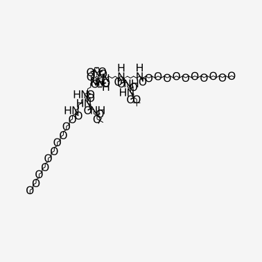 COCCOCCOCCOCCOCCOCCOCCOCCOCCOCC(=O)NCCCC[C@H](NC(=O)CCCNC(=O)[C@H]([C@@H](C(=O)NCCCC(=O)N[C@@H](CCCCNC(=O)COCCOCCOCCOCCOCCOCCOCCOCCOCCOC)C(=O)NCC(=O)NCC(=O)OC(C)(C)C)N1C(=O)C=CC1=O)N1C(=O)C=CC1=O)C(=O)NCC(=O)NCC(=O)OC(C)(C)C